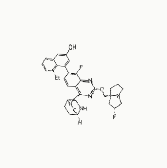 CCc1cccc2cc(O)cc(-c3ccc4c(N5C[C@@H]6CCC5CN6)nc(OC[C@@]56CCCN5C[C@H](F)C6)nc4c3F)c12